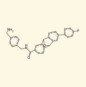 NCc1ccc(CNC(=O)c2ccc3c(c2)C2OC3c3cc(-c4ccc(F)cc4)ccc32)cc1